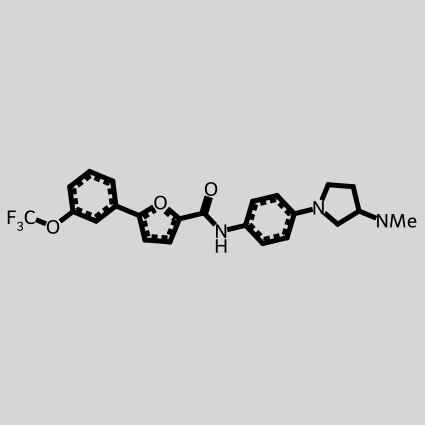 CNC1CCN(c2ccc(NC(=O)c3ccc(-c4cccc(OC(F)(F)F)c4)o3)cc2)C1